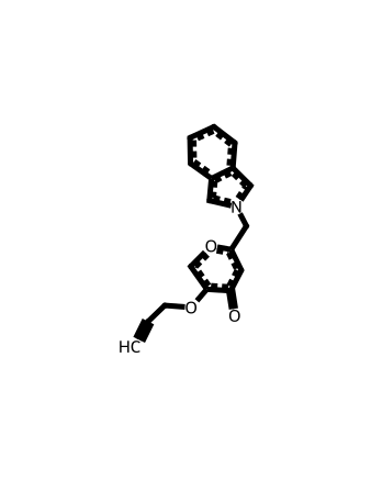 C#CCOc1coc(Cn2cc3ccccc3c2)cc1=O